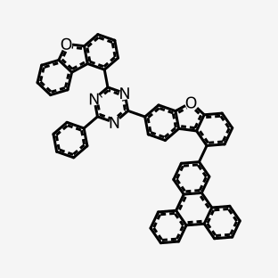 c1ccc(-c2nc(-c3ccc4c(c3)oc3cccc(-c5ccc6c7ccccc7c7ccccc7c6c5)c34)nc(-c3cccc4oc5ccccc5c34)n2)cc1